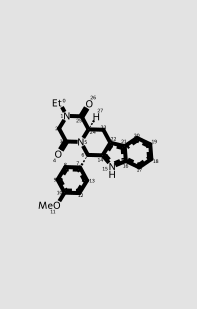 CCN1CC(=O)N2[C@@H](c3ccc(OC)cc3)c3[nH]c4ccccc4c3C[C@@H]2C1=O